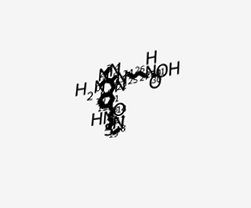 Nc1ncnc2c1c(-c1cccc(C(=O)NC3=NCCS3)c1)nn2CCCCNC(=O)O